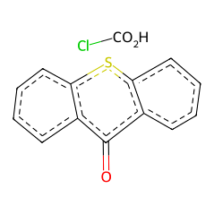 O=C(O)Cl.O=c1c2ccccc2sc2ccccc12